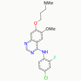 CNCCCOc1cc2ncnc(Nc3ccc(Cl)cc3F)c2cc1OC